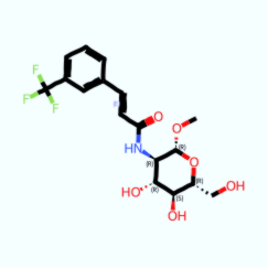 CO[C@@H]1O[C@H](CO)[C@@H](O)[C@H](O)[C@H]1NC(=O)/C=C/c1cccc(C(F)(F)F)c1